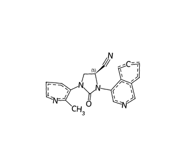 Cc1ncccc1N1C[C@@H](C#N)N(c2cncc3ccccc23)C1=O